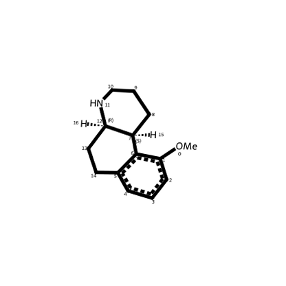 COc1cccc2c1[C@@H]1CCCN[C@@H]1CC2